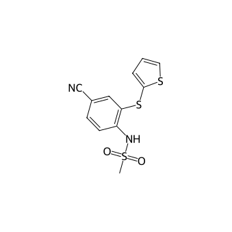 CS(=O)(=O)Nc1ccc(C#N)cc1Sc1cccs1